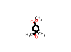 COC(=O)C1CCC(C)(C(C)=O)CC1